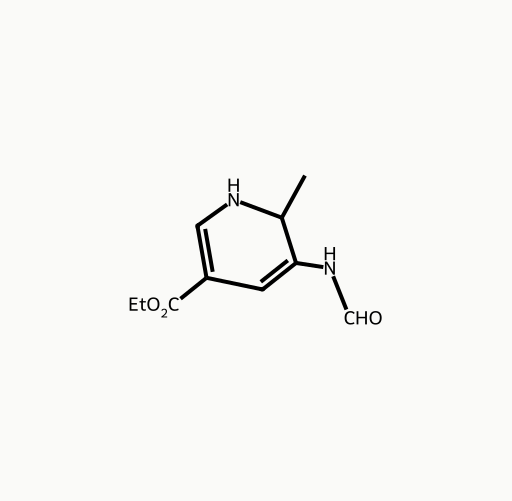 CCOC(=O)C1=CNC(C)C(NC=O)=C1